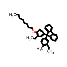 CCCCCCCCOc1ccc(C2(c3ccc(C)c(CC)c3)c3ccccc3-c3ccccc32)cc1CC